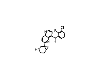 Fc1c(Cl)cccc1Nc1ncnc2ccc(C34CNCCC3C4)nc12